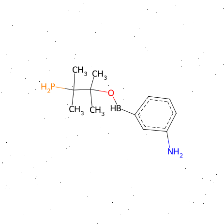 CC(C)(P)C(C)(C)OBc1cccc(N)c1